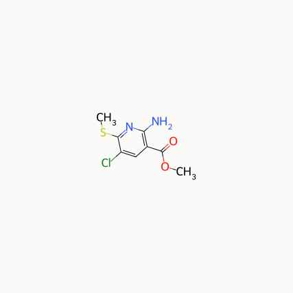 COC(=O)c1cc(Cl)c(SC)nc1N